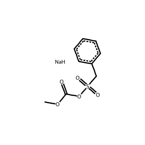 COC(=O)OS(=O)(=O)Cc1ccccc1.[NaH]